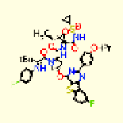 C=C[C@@H]1C[C@]1(NC(=O)[C@@H]1C[C@@H](Oc2nc(-c3ccc(OC(C)C)cc3)nc3c2sc2ccc(F)cc23)CN1C(=O)[C@@H](Nc1ccc(F)cc1)C(C)(C)C)C(=O)NS(=O)(=O)C1CC1